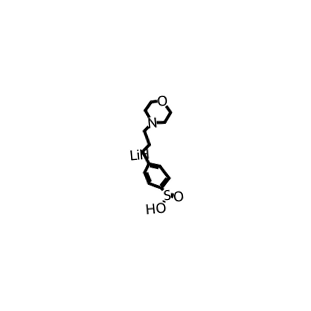 O=S(O)c1ccc(CCCN2CCOCC2)cc1.[LiH]